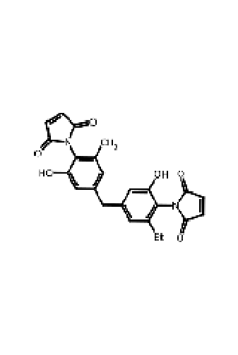 CCc1cc(Cc2cc(C)c(N3C(=O)C=CC3=O)c(O)c2)cc(O)c1N1C(=O)C=CC1=O